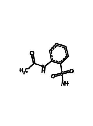 CC(=O)Nc1ccccc1S([NH])(=O)=O